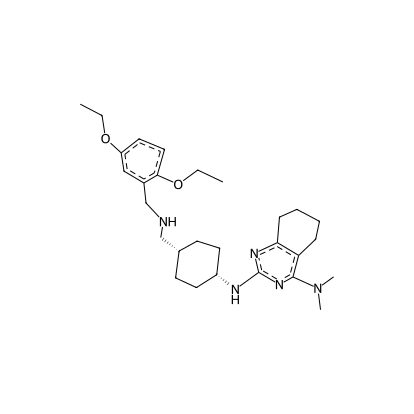 CCOc1ccc(OCC)c(CNC[C@H]2CC[C@@H](Nc3nc4c(c(N(C)C)n3)CCCC4)CC2)c1